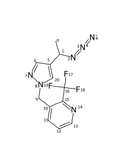 CC(N=[N+]=[N-])c1cnn(Cc2cccnc2C(F)(F)F)c1